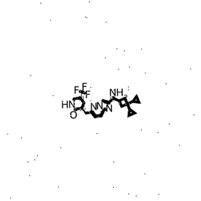 N[C@H](c1cn2nc(C[C@@H]3C[C@@H](C(F)(F)F)CNC3=O)ccc2n1)C1CC(C2CC2)(C2CC2)C1